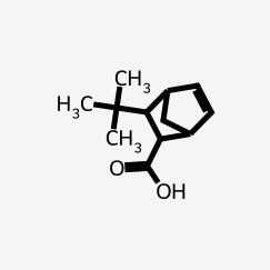 CC(C)(C)C1C2C=CC(C2)C1C(=O)O